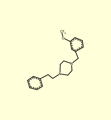 FC(F)(F)Oc1cccc(CN2CCN(CCc3ccccc3)CC2)c1